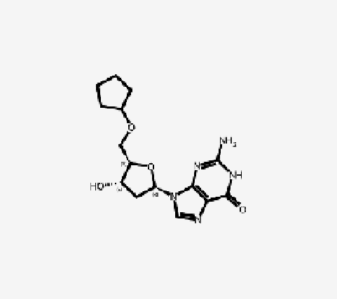 Nc1nc2c(ncn2[C@H]2C[C@H](O)[C@@H](COC3CCCC3)O2)c(=O)[nH]1